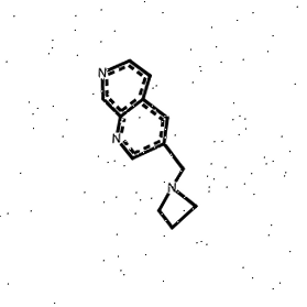 c1cc2cc(CN3CCC3)cnc2cn1